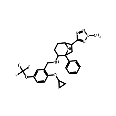 Cn1nnc(C2CC3(c4ccccc4)NC2CCC3NCc2cc(OC(F)(F)F)ccc2OC2CC2)n1